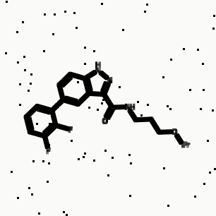 CC(C)OCCCNC(=O)c1n[nH]c2ccc(-c3cccc(F)c3F)cc12